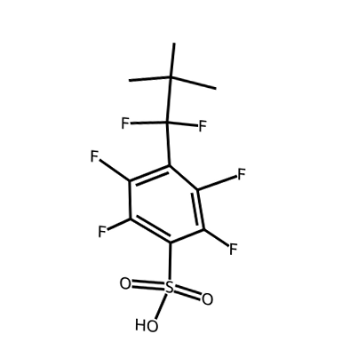 CC(C)(C)C(F)(F)c1c(F)c(F)c(S(=O)(=O)O)c(F)c1F